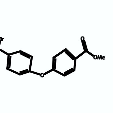 COC(=O)c1ccc(Oc2ccc(CBr)cc2)cc1